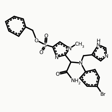 Cn1cc(S(=O)(=O)OCc2ccccc2)nc1C(C(N)=O)N(Cc1cnc[nH]1)c1ccc(Br)cc1